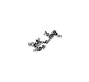 C=CC(=O)N1CCN(c2nc(OCCN3CCC(CCOCC(=O)N[C@H](C(=O)N4C[C@H](O)C[C@H]4C(=O)N[C@@H](C)c4ccc(-c5scnc5C)cc4)C(C)(C)C)CC3)nc3c(F)c(-c4cc(O)cc5ccccc45)c(Cl)cc23)CC1